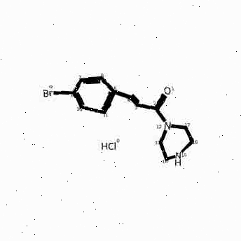 Cl.O=C(C=Cc1ccc(Br)cc1)N1CCNCC1